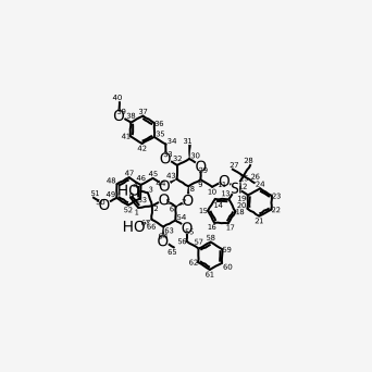 C=CC1(CO)O[C@@H](O[C@@H]2C(CO[Si](c3ccccc3)(c3ccccc3)C(C)(C)C)O[C@H](C)C(OCc3ccc(OC)cc3)[C@@H]2OCc2ccc(OC)cc2)C(OCc2ccccc2)[C@@H](OC)[C@@H]1O